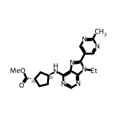 CCn1c(-c2cnc(C)nc2)nc2c(N[C@H]3CC[C@H](C(=O)OC)C3)ncnc21